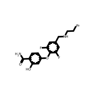 CC(C)CCNCc1cc(F)c(Oc2ccc(C(N)=O)c(O)c2)c(F)c1